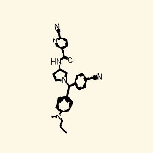 CCCN(C)c1ccc(C(c2ccc(C#N)cc2)N2CC[C@@H](NC(=O)c3ccc(C#N)nc3)C2)cc1